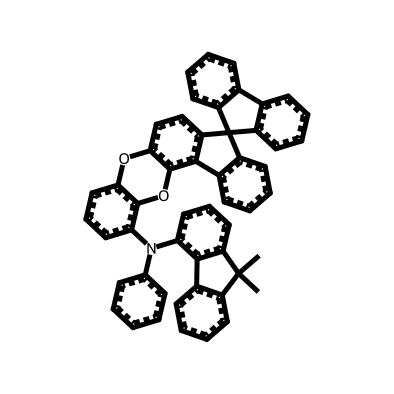 CC1(C)c2ccccc2-c2c(N(c3ccccc3)c3cccc4c3Oc3c(ccc5c3-c3ccccc3C53c5ccccc5-c5ccccc53)O4)cccc21